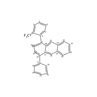 FC(F)(F)c1ccccc1-c1nnc(-c2ccccc2)c2cc3ccccc3cc12